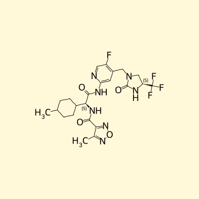 Cc1nonc1C(=O)N[C@H](C(=O)Nc1cc(CN2C[C@@H](C(F)(F)F)NC2=O)c(F)cn1)C1CCC(C)CC1